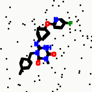 Cc1ccc(Cn2c(=O)n(C)c(=O)[nH]/c2=N\c2ccc(Oc3ccc(F)cn3)cc2)cc1